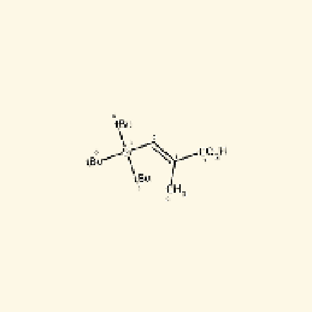 CC(=C[Si](C(C)(C)C)(C(C)(C)C)C(C)(C)C)C(=O)O